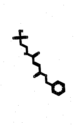 O=C(C=CC(=O)OCc1ccccc1)NCCS(=O)(=O)O